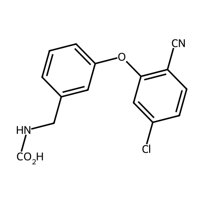 N#Cc1ccc(Cl)cc1Oc1cccc(CNC(=O)O)c1